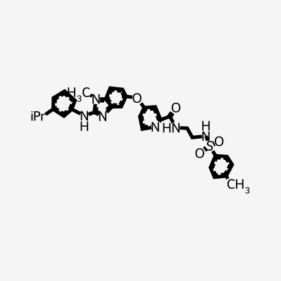 Cc1ccc(S(=O)(=O)NCCNC(=O)c2cc(Oc3ccc4c(c3)nc(Nc3cccc(C(C)C)c3)n4C)ccn2)cc1